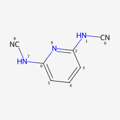 N#CNc1cccc(NC#N)n1